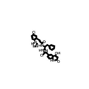 O=C(C=Cc1cc(Cl)ccc1-n1cnnn1)NC(Cc1ccccc1)c1nc(-c2ccc3[nH]c(=O)cc(O)c3c2)c(Cl)[nH]1